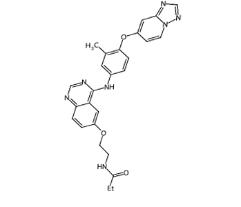 CCC(=O)NCCOc1ccc2ncnc(Nc3ccc(Oc4ccn5ncnc5c4)c(C)c3)c2c1